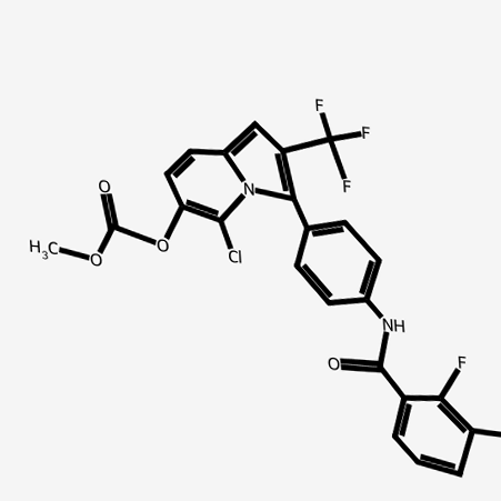 COC(=O)Oc1ccc2cc(C(F)(F)F)c(-c3ccc(NC(=O)c4cccc(F)c4F)cc3)n2c1Cl